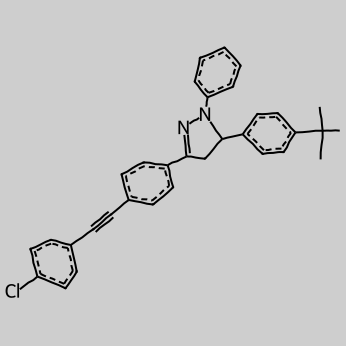 CC(C)(C)c1ccc(C2CC(c3ccc(C#Cc4ccc(Cl)cc4)cc3)=NN2c2ccccc2)cc1